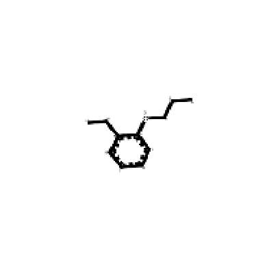 CCCOc1ccc[c]c1CC